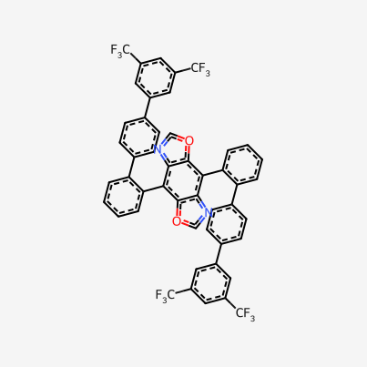 FC(F)(F)c1cc(-c2ccc(-c3ccccc3-c3c4ncoc4c(-c4ccccc4-c4ccc(-c5cc(C(F)(F)F)cc(C(F)(F)F)c5)cc4)c4ncoc34)cc2)cc(C(F)(F)F)c1